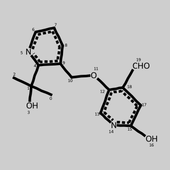 CC(C)(O)c1ncccc1COc1cnc(O)cc1C=O